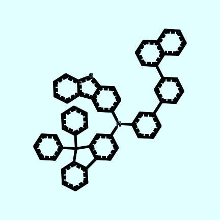 c1ccc(C2(c3ccccc3)c3ccccc3-c3ccc(N(c4cccc(-c5cccc(-c6cccc7ccccc67)c5)c4)c4ccc5sc6ccccc6c5c4)cc32)cc1